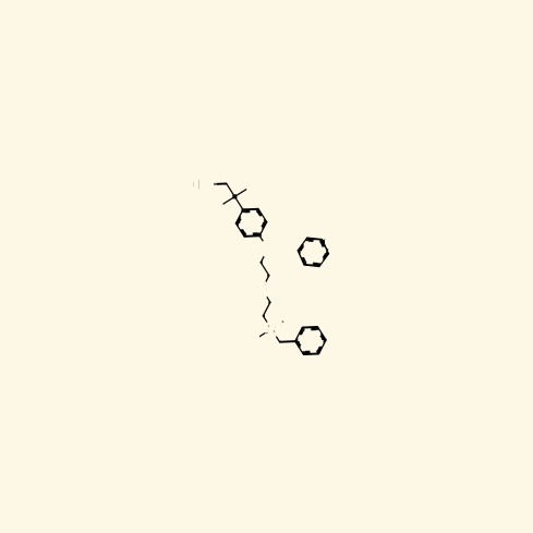 CC(C)(C)CC(C)(C)c1ccc(OCCOCC[N+](C)(C)Cc2ccccc2)cc1.[Cl-].[c]1ccccc1